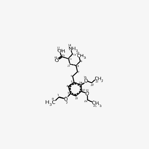 CCOc1cc(CCC(CC)CC(CN)C(=O)O)c(OCC)c(OCC)c1